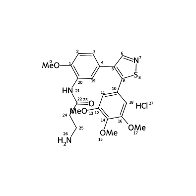 COc1ccc(-c2cnsc2-c2cc(OC)c(OC)c(OC)c2)cc1NC(=O)CCN.Cl